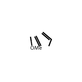 C=C.C=CC.COC